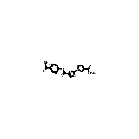 COC(=O)C1CCN(c2ncc(C(=O)Oc3ccc(C(N)=O)cc3)s2)C1